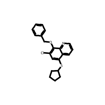 Clc1cc(SC2CCCC2)c2cccnc2c1OCc1ccccc1